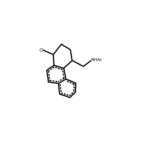 CC(=O)NCC1CCC(Cl)c2ccc3ccccc3c21